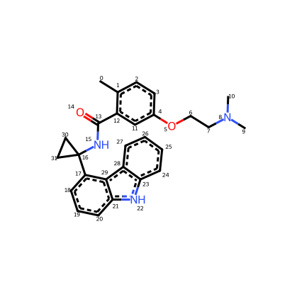 Cc1ccc(OCCN(C)C)cc1C(=O)NC1(c2cccc3[nH]c4ccccc4c23)CC1